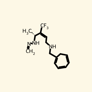 C=NN[C@H](C)/C(=C\CNCC1=CC=CC=CC1)C(F)(F)F